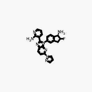 Nc1ncccc1-c1nc2ccc(-n3cccn3)nc2n1-c1ccc2c(c1)CC(F)[C@@H]2N